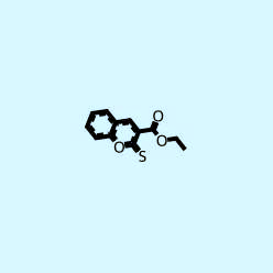 CCOC(=O)c1cc2ccccc2oc1=S